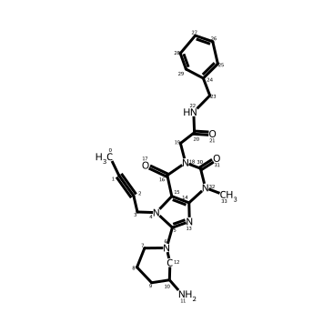 CC#CCn1c(N2CCCC(N)C2)nc2c1c(=O)n(CC(=O)NCc1ccccc1)c(=O)n2C